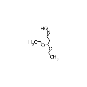 CCOC(CC=NO)OCC